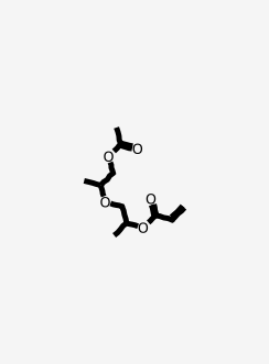 C=CC(=O)OC(C)COC(C)COC(C)=O